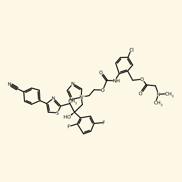 C[C@@H](c1nc(-c2ccc(C#N)cc2)cs1)[C@](O)(C[N+]1(CCOC(=O)Nc2ccc(Cl)cc2COC(=O)CN(C)C)C=NC=N1)c1cc(F)ccc1F